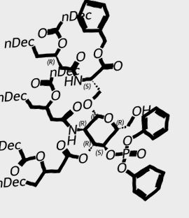 CCCCCCCCCCCC(CC(=O)N[C@H]1[C@H](OC[C@H](NC(=O)C[C@@H](CCCCCCCCCCC)OC(=O)CCCCCCCCCC)C(=O)OCc2ccccc2)O[C@H](CO)[C@@H](OP(=O)(Oc2ccccc2)Oc2ccccc2)[C@@H]1OC(=O)CC(CCCCCCCCCCC)OC(=O)CCCCCCCCCC)OC(=O)CCCCCCCCCC